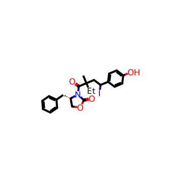 CCC(C)(CC(I)c1ccc(O)cc1)C(=O)N1C(=O)OC[C@@H]1Cc1ccccc1